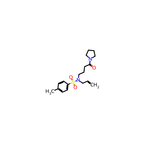 C=CCN(CCCC(=O)N1CCCC1)S(=O)(=O)c1ccc(C)cc1